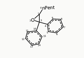 CCCCCC1OC1(c1ccccc1)c1ccccc1